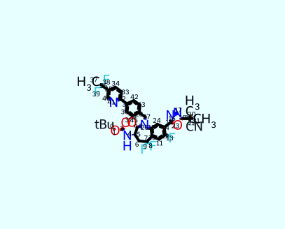 CC(C)(C)OC(=O)N[C@H]1CC(F)(F)c2cc(F)c(-c3nnc(C(C)(C)C#N)o3)cc2N(Cc2ccc(-c3ccc(C(C)(F)F)cn3)cc2)C1=O